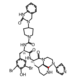 O=C(N[C@@H](CC1CCNCC1)C(=O)N1CCN(c2ccncc2)CC1)[C@@H](Cc1cc(Br)c(O)c(Br)c1)NC(=O)N1CCC(N2Cc3ccccc3NC2=O)CC1